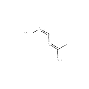 CO/N=C\N=C(/C)N